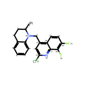 CC(C)C1CCc2ccccc2N1Cc1cc(Cl)nc2c(F)c(F)ccc12